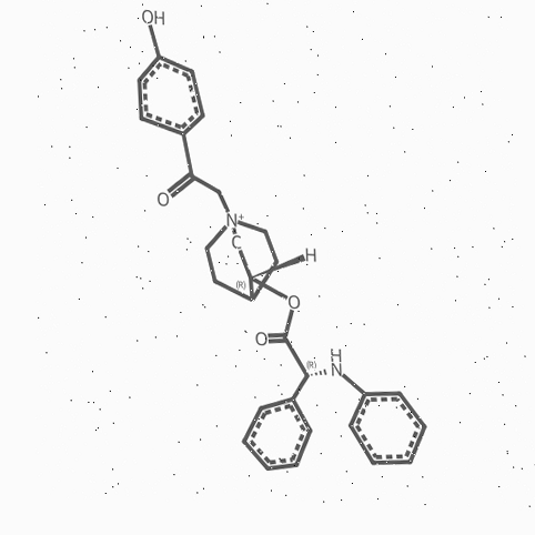 O=C(C[N+]12CCC(CC1)[C@@H](OC(=O)[C@H](Nc1ccccc1)c1ccccc1)C2)c1ccc(O)cc1